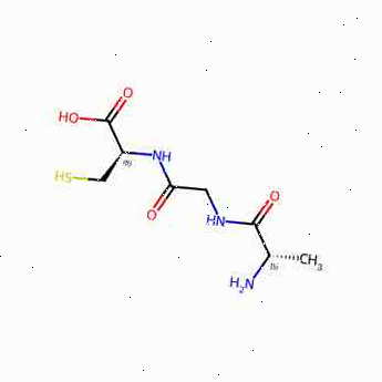 C[C@H](N)C(=O)NCC(=O)N[C@@H](CS)C(=O)O